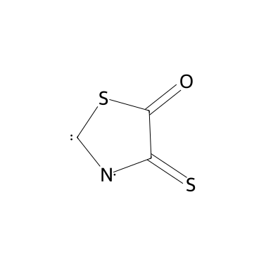 O=C1S[C][N]C1=S